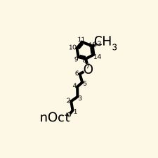 CCCCCCCCCCCCCCOc1cccc(C)c1